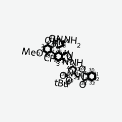 COc1cc(OC)c(-n2ccc(N)nc2=O)c(-c2ccc3nc(NC4CC(CN5C(=O)c6ccccc6C5=O)N(C(=O)OC(C)(C)C)C4)ncc3c2)c1C